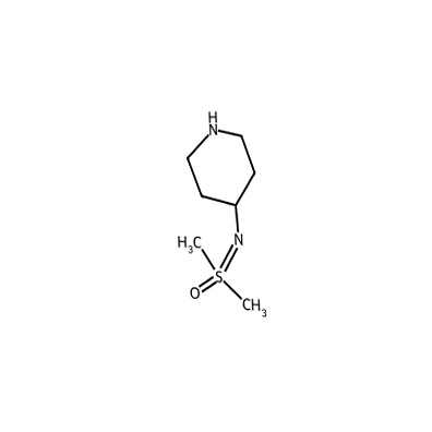 CS(C)(=O)=NC1CCNCC1